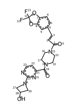 O=C(C=Cc1ccc2c(c1)OC(F)(F)O2)N1CCN(C(=O)c2ccnc(N3CC(O)C3)n2)CC1